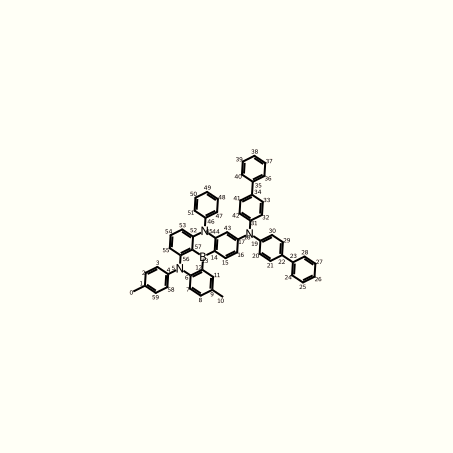 Cc1ccc(N2c3ccc(C)cc3B3c4ccc(N(c5ccc(-c6ccccc6)cc5)c5ccc(-c6ccccc6)cc5)cc4N(c4ccccc4)c4cccc2c43)cc1